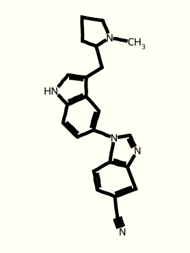 CN1CCCC1Cc1c[nH]c2ccc(-n3cnc4cc(C#N)ccc43)cc12